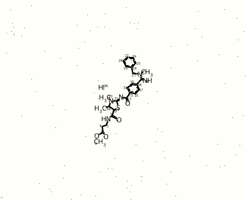 COC(=O)CCNC(=O)C1SC(=NC(=O)c2ccc(C(=N)N(C)Cc3ccccc3)cc2)N(C)C1C.I